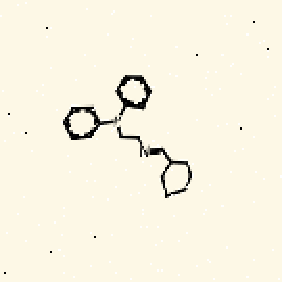 C(=NCCP(c1ccccc1)c1ccccc1)C1CCCCC1